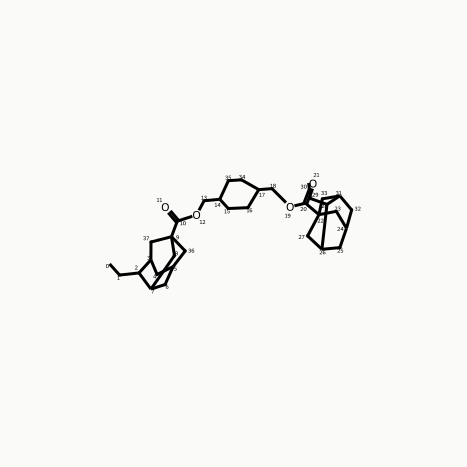 CCC1C2CC3CC1CC(C(=O)OCC1CCC(COC(=O)C45CC6CC(C4)C(CC)C(C6)C5)CC1)(C3)C2